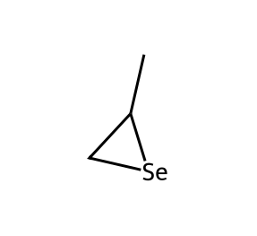 CC1C[Se]1